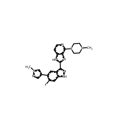 CN1CCN(c2nccc3[nH]c(-c4n[nH]c5cc(F)c(-c6cnn(C)c6)cc45)nc23)CC1